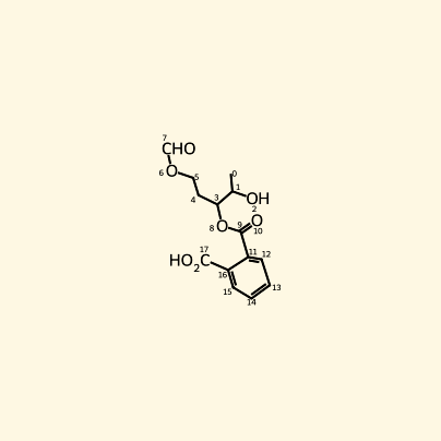 CC(O)C(CCOC=O)OC(=O)c1ccccc1C(=O)O